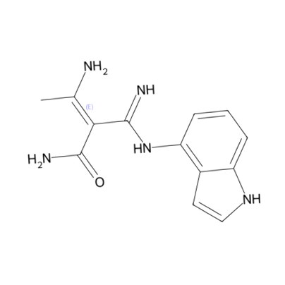 C/C(N)=C(/C(=N)Nc1cccc2[nH]ccc12)C(N)=O